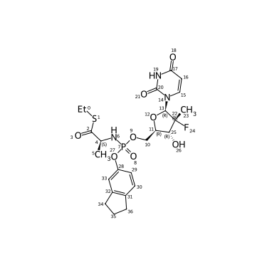 CCSC(=O)[C@H](C)NP(=O)(OC[C@H]1O[C@@H](n2ccc(=O)[nH]c2=O)[C@](C)(F)[C@@H]1O)Oc1ccc2c(c1)CCC2